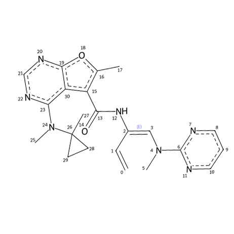 C=C/C(=C\N(C)c1ncccn1)NC(=O)c1c(C)oc2ncnc(N(C)C3(C)CC3)c12